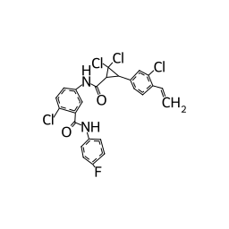 C=Cc1ccc(C2C(C(=O)Nc3ccc(Cl)c(C(=O)Nc4ccc(F)cc4)c3)C2(Cl)Cl)cc1Cl